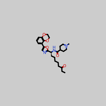 CCC(=O)CCCCC[C@H](NC(=O)C1CCN(C)CC1)c1ncc(-c2cccc3c2OCCO3)o1